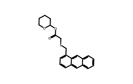 O=C(CSCc1cccc2cc3ccccc3cc12)OC1CCCCO1